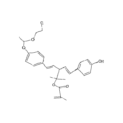 C=C(C)C(=O)OC(C)(C)C(C=Cc1ccc(O)cc1)C=Cc1ccc(OC(C)OCCCl)cc1